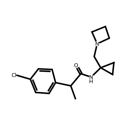 CC(C(=O)NC1(CN2CCC2)CC1)c1ccc(Cl)cc1